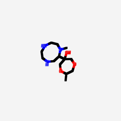 CC1COCC(O)(C2CNCCNCCN2C)CO1